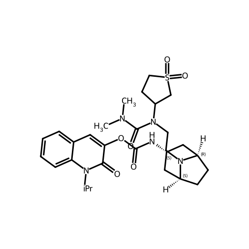 CC(C)n1c(=O)c(OC(=O)N[C@@H]2C[C@H]3CC[C@@H](C2)N3CCN(C(=O)N(C)C)C2CCS(=O)(=O)C2)cc2ccccc21